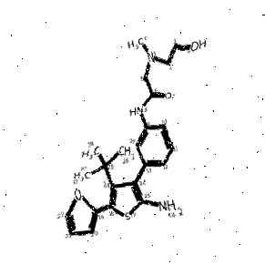 CN(CCO)CC(=O)Nc1cccc(-c2c(N)sc(-c3ccco3)c2C(C)(C)C)c1